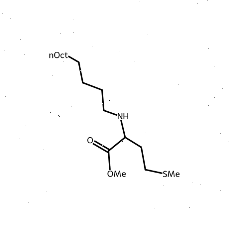 CCCCCCCCCCCCNC(CCSC)C(=O)OC